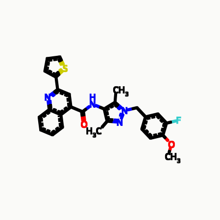 COc1ccc(Cn2nc(C)c(NC(=O)c3cc(-c4cccs4)nc4ccccc34)c2C)cc1F